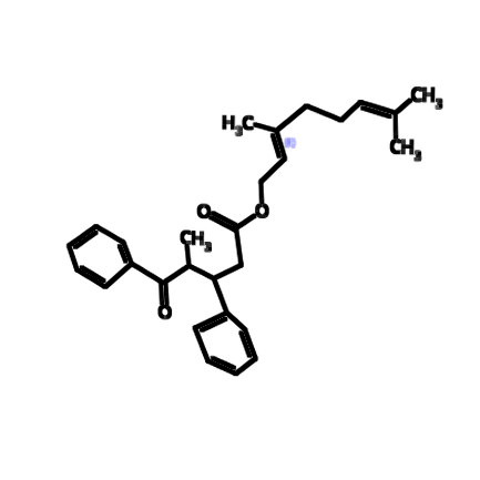 CC(C)=CCC/C(C)=C/COC(=O)CC(c1ccccc1)C(C)C(=O)c1ccccc1